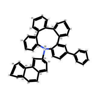 c1ccc(-c2ccc3c(c2)c2ccccc2c2ccccc2c2ccccc2n3-c2ccc3ccc4ccccc4c3c2)cc1